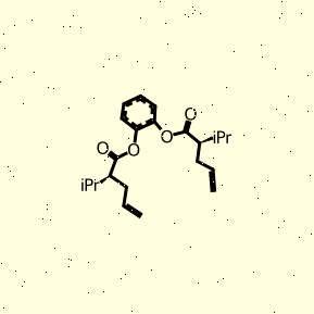 C=CC[C@H](C(=O)Oc1ccccc1OC(=O)[C@H](CC=C)C(C)C)C(C)C